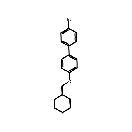 CCc1ccc(-c2ccc(OCC3CC[CH]CC3)cc2)cc1